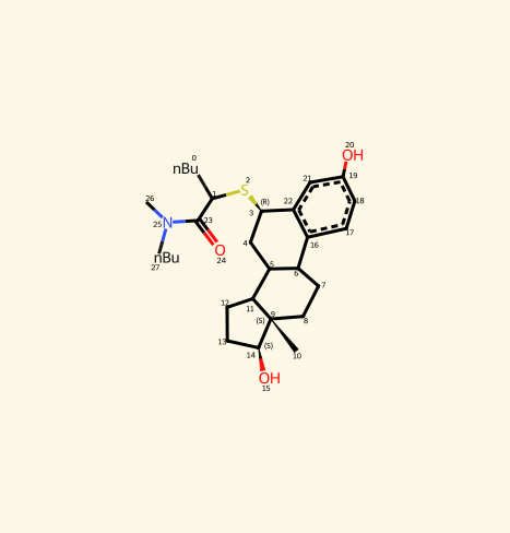 CCCCC(S[C@@H]1CC2C(CC[C@@]3(C)C2CC[C@@H]3O)c2ccc(O)cc21)C(=O)N(C)CCCC